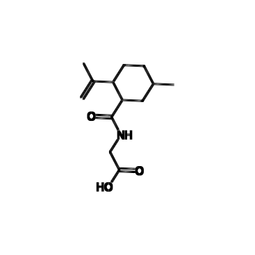 C=C(C)C1CCC(C)CC1C(=O)NCC(=O)O